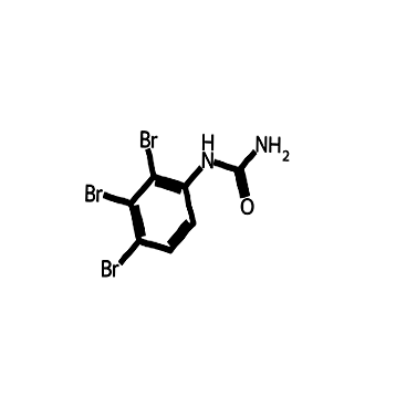 NC(=O)Nc1ccc(Br)c(Br)c1Br